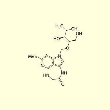 CSc1nc2c3c(cn(CO[C@H](CO)[C@@H](O)[C@H](C)O)c3n1)NC(=O)CN2